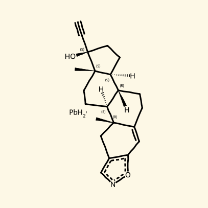 C#C[C@]1(O)CC[C@H]2[C@@H]3CCC4=Cc5oncc5C[C@]4(C)[C@H]3CC[C@@]21C.[PbH2]